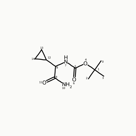 CC(C)(C)OC(=O)NC(C(N)=O)C1CC1